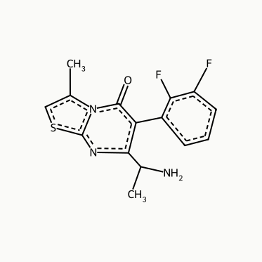 Cc1csc2nc(C(C)N)c(-c3cccc(F)c3F)c(=O)n12